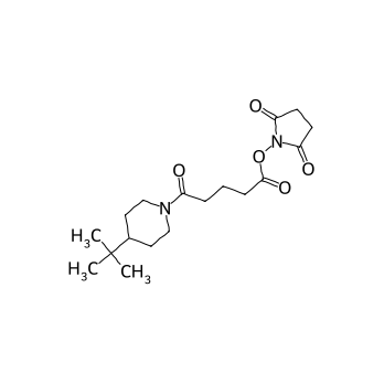 CC(C)(C)C1CCN(C(=O)CCCC(=O)ON2C(=O)CCC2=O)CC1